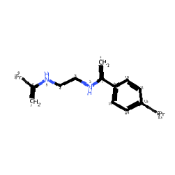 C=C(NCCNC(=C)C(C)C)c1ccc(C(C)C)cc1